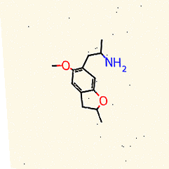 COc1cc2c(cc1CC(C)N)OC(C)C2